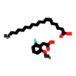 CCCCCCCCCCC/C=C\CCCCC(=O)O.COc1cccc(F)c1CC(=O)O